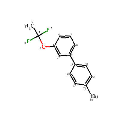 CC(F)(F)Oc1cccc(-c2ccc(C(C)(C)C)cc2)c1